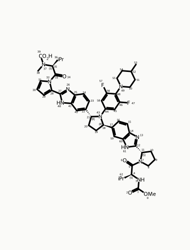 COC(=O)N[C@H](C(=O)N1CCC[C@H]1c1nc2ccc([C@H]3CC[C@H](c4ccc5nc(-c6cccn6C(=O)[C@H](C(C)C)N(C)C(=O)O)[nH]c5c4)N3c3cc(F)c(N4CCC(C)CC4)c(F)c3)cc2[nH]1)C(C)C